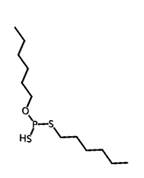 CCCCCCOP(S)SCCCCCC